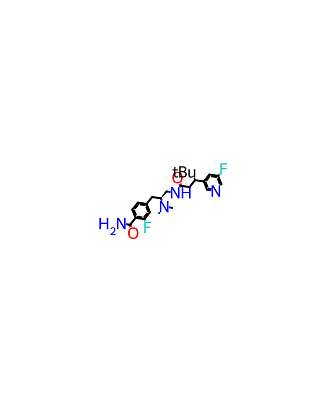 CN(C)[C@H](CNC(=O)C[C@H](c1cncc(F)c1)C(C)(C)C)Cc1ccc(C(N)=O)c(F)c1